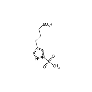 CS(=O)(=O)n1cc(CCCS(=O)(=O)O)cn1